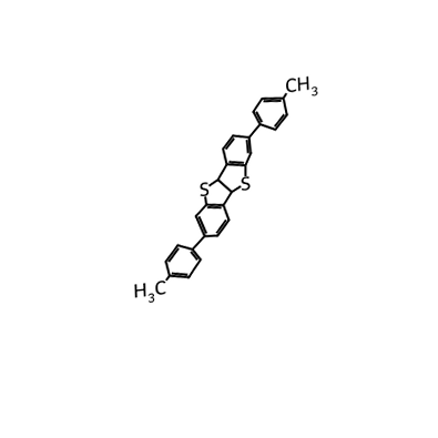 Cc1ccc(-c2ccc3c(c2)SC2c4ccc(-c5ccc(C)cc5)cc4SC32)cc1